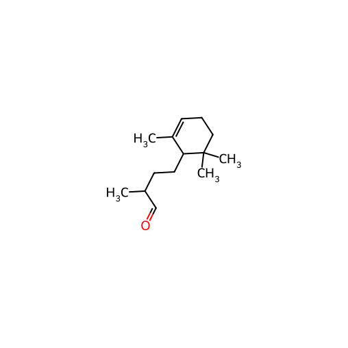 CC1=CCCC(C)(C)C1CCC(C)C=O